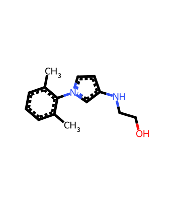 Cc1cccc(C)c1-n1ccc(NCCO)c1